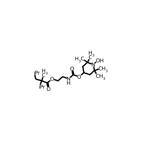 CC(C)CC(C)(C(=O)OCCNC(=O)OC1CC(C)(C)N(O)C(C)(C)C1)C(C)C